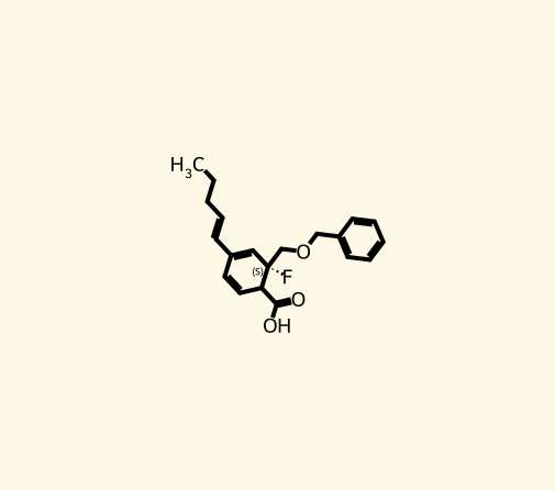 CCCC=CC1=C[C@@](F)(COCc2ccccc2)C(C(=O)O)C=C1